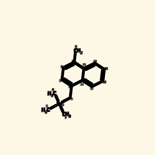 Cc1ccc([CH2][Sn]([CH3])([CH3])[CH3])c2ccccc12